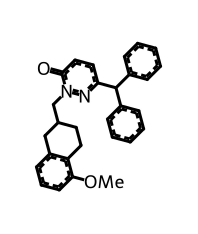 COc1cccc2c1CCC(Cn1nc(C(c3ccccc3)c3ccccc3)ccc1=O)C2